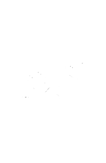 CC(=O)C(/C=C/c1ccccc1)(CC(C)C)[C@@H](C(=O)NO)[C@@H](CC(C)C)C(=O)NN